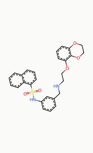 O=S(=O)(Nc1cccc(CNCCOc2cccc3c2OCCO3)c1)c1cccc2ccccc12